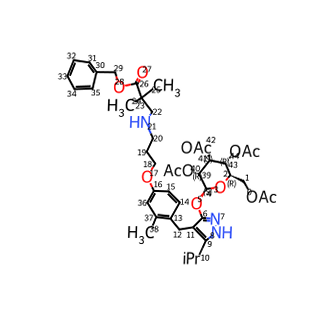 CC(=O)OC[C@H]1O[C@@H](Oc2n[nH]c(C(C)C)c2Cc2ccc(OCCCNCC(C)(C)C(=O)OCc3ccccc3)cc2C)[C@H](OC(C)=O)[C@@H](OC(C)=O)[C@@H]1OC(C)=O